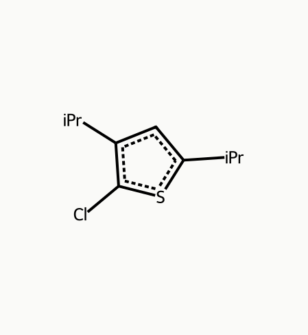 CC(C)c1cc(C(C)C)c(Cl)s1